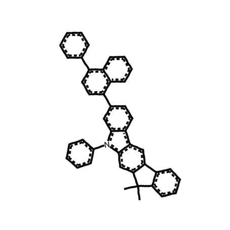 CC1(C)c2ccccc2-c2cc3c4ccc(-c5ccc(-c6ccccc6)c6ccccc56)cc4n(-c4ccccc4)c3cc21